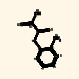 Nc1ncccc1CC(=O)C(=O)O